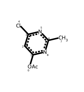 CC(=O)Oc1cc(Cl)nc(C)n1